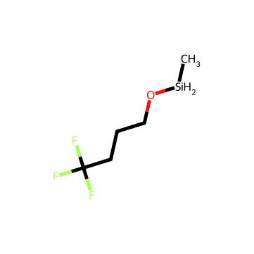 C[SiH2]OCCCC(F)(F)F